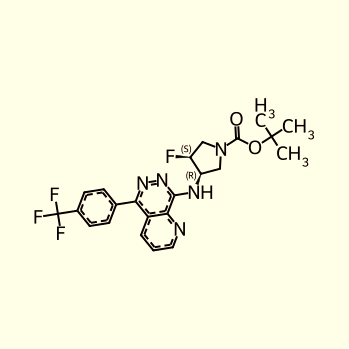 CC(C)(C)OC(=O)N1C[C@H](F)[C@H](Nc2nnc(-c3ccc(C(F)(F)F)cc3)c3cccnc23)C1